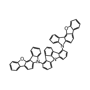 c1ccc2c(c1)oc1c2ccc2c1c1ccccc1n2-c1cccc2c1c1cccc3c4c(-n5c6ccccc6c6c7oc8ccccc8c7ccc65)cccc4n2c13